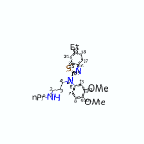 CCCNCCCN(c1ccc(OC)c(OC)c1)c1nc2ccc(CC)cc2s1